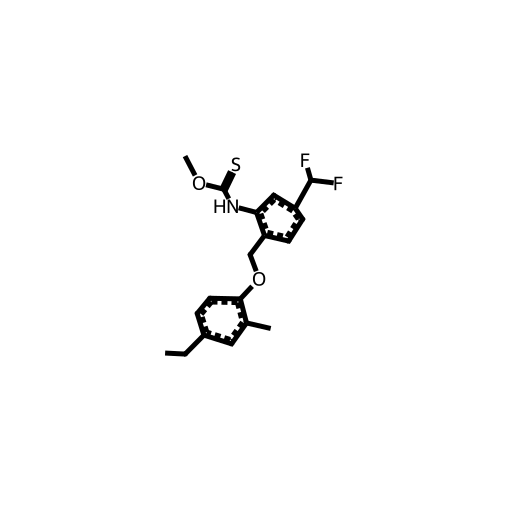 CCc1ccc(OCc2ccc(C(F)F)cc2NC(=S)OC)c(C)c1